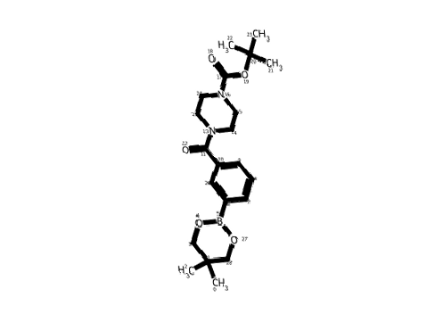 CC1(C)COB(c2cccc(C(=O)N3CCN(C(=O)OC(C)(C)C)CC3)c2)OC1